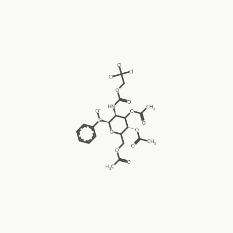 CC(=O)OCC1O[C@@H]([S+]([O-])c2ccccc2)[C@@H](NC(=O)OCC(Cl)(Cl)Cl)C(OC(C)=O)[C@@H]1OC(C)=O